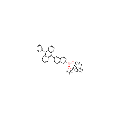 CC1(C)OB(c2ccc3cc(-c4c5ccccc5c(-c5ccccc5)c5ccccc45)ccc3c2)OC1(C)C